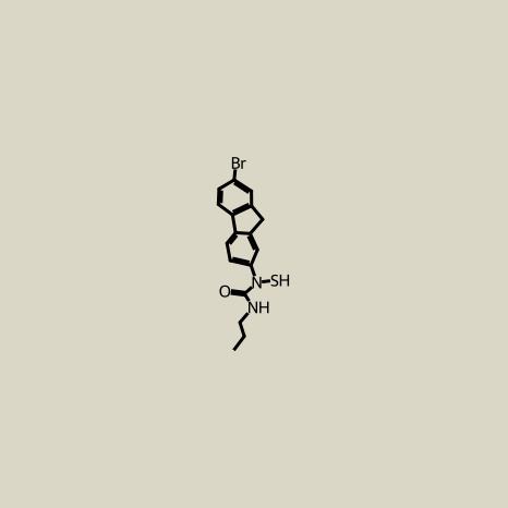 CCCNC(=O)N(S)c1ccc2c(c1)Cc1cc(Br)ccc1-2